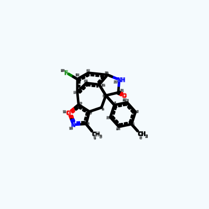 Cc1ccc(C23Cc4c(C)noc4-c4cc2c(cc4F)NC3=O)cc1